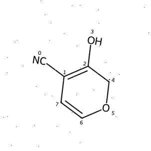 N#CC1=C(O)[CH]OC=C1